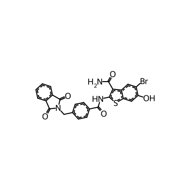 NC(=O)c1c(NC(=O)c2ccc(CN3C(=O)c4ccccc4C3=O)cc2)sc2cc(O)c(Br)cc12